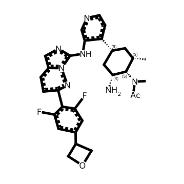 CC(=O)N(C)[C@@H]1[C@H](N)C[C@H](c2ccncc2Nc2ncc3ccc(-c4c(F)cc(C5COC5)cc4F)nn23)C[C@@H]1C